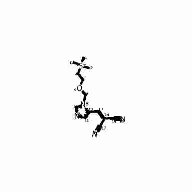 C[Si](C)(C)CCOCn1cncc1C=C(C#N)C#N